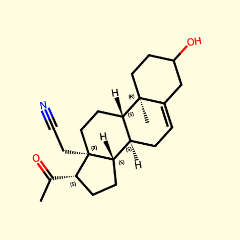 CC(=O)[C@H]1CC[C@H]2[C@@H]3CC=C4CC(O)CC[C@]4(C)[C@H]3CC[C@]12CC#N